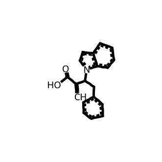 C=C(C(=O)O)C(Cc1ccccc1)n1ccc2ccccc21